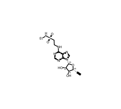 C#C[C@H]1O[C@@H](n2cnc3c(NCCS(=O)(=O)NCC)ncnc32)[C@H](O)[C@@H]1O